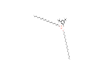 CCCCCCCCCCCCCCCCCCOP(=O)(Cc1cc(C(C)(C)C)cc(C(C)(C)C)c1)OCCCCCCCCCCCCCCCCCC